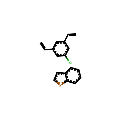 C=Cc1cc(Br)cc(C=C)c1.c1ccc2sccc2c1